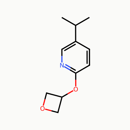 CC(C)c1ccc(OC2COC2)nc1